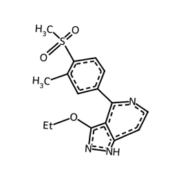 CCOc1n[nH]c2ccnc(-c3ccc(S(C)(=O)=O)c(C)c3)c12